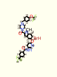 Br.Cn1c(C(=O)N2CCN(Cc3ccc(OC(F)F)cc3)CC2)cc2cc(Oc3ccc(NC(=O)c4ccc(C(F)(F)F)cc4)cn3)ccc21